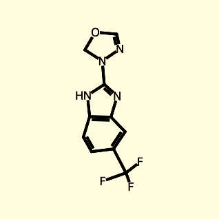 FC(F)(F)c1ccc2[nH]c(N3COC=N3)nc2c1